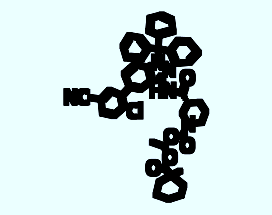 CC(OC(=O)N1CCC[C@@H](C(=O)Nc2nn(C(c3ccccc3)(c3ccccc3)c3ccccc3)c3ccc(-c4cc(C#N)ccc4Cl)cc23)C1)OC(=O)C1(C)CCCCC1